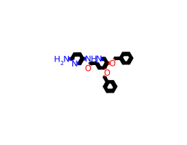 Nc1ccc(NC(=O)c2cc(OCc3ccccc3)c(OCc3ccccc3)cn2)cn1